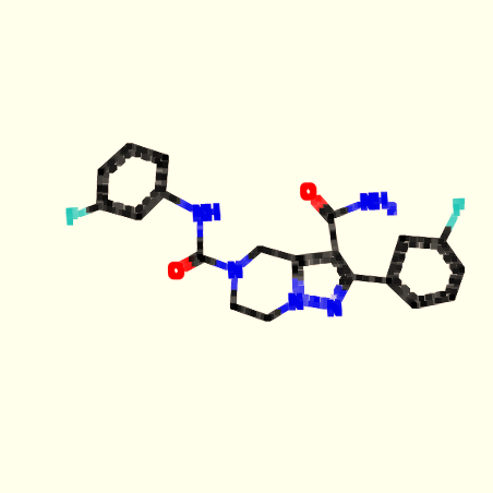 NC(=O)c1c(-c2cccc(F)c2)nn2c1CN(C(=O)Nc1cccc(F)c1)CC2